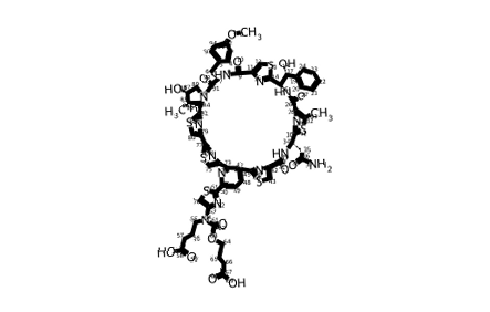 COc1ccc(C[C@@H]2NC(=O)c3csc(n3)[C@H]([C@H](O)c3ccccc3)NC(=O)c3nc(sc3C)[C@H](CC(N)=O)NC(=O)c3csc(n3)-c3ccc(-c4nc(N(CCCC(=O)O)C(=O)OCCCC(=O)O)cs4)nc3-c3csc(n3)-c3csc(n3)[C@@H]3[C@@H](C)[C@@H](O)CN3C2=O)cc1